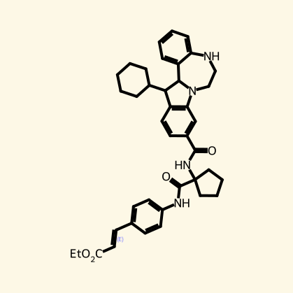 CCOC(=O)/C=C/c1ccc(NC(=O)C2(NC(=O)c3ccc4c(c3)N3CCNc5ccccc5C3C4C3CCCCC3)CCCC2)cc1